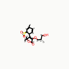 CC1=CC(=S(=O)=O)C(C2=C(OC[C@@H](C)CO)C(=O)OC2(C)C)C=C1